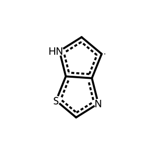 [c]1c[nH]c2scnc12